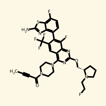 CC#CC(=O)N1CCN(c2nc(OC[C@@H]3CCCN3CCF)nc3c(F)c(-c4ccc(F)c5sc(N)nc45)c(C(F)(F)F)cc23)CC1